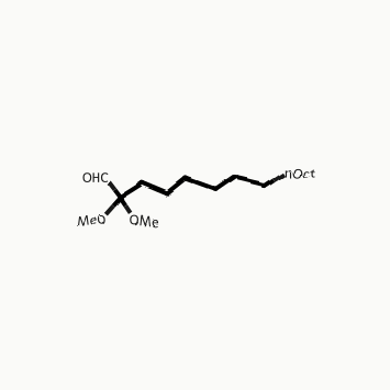 CCCCCCCCCCCCCCC(C=O)(OC)OC